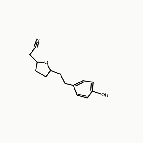 N#CCC1CCC(CCc2ccc(O)cc2)O1